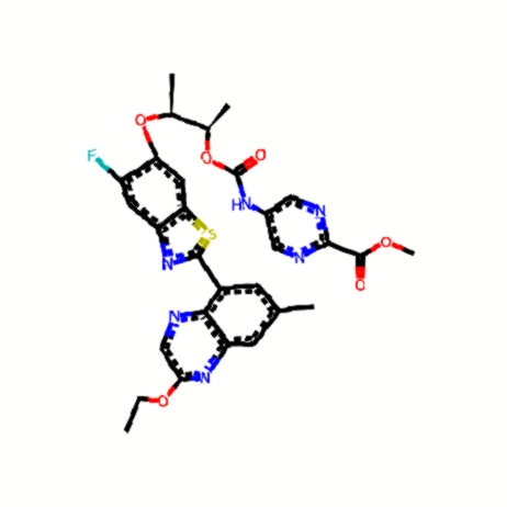 CCOc1cnc2c(-c3nc4cc(F)c(O[C@@H](C)[C@@H](C)OC(=O)Nc5cnc(C(=O)OC)nc5)cc4s3)cc(C)cc2n1